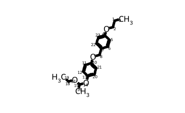 CCCOc1ccc(COc2ccc(OC(C)OCC)cc2)cc1